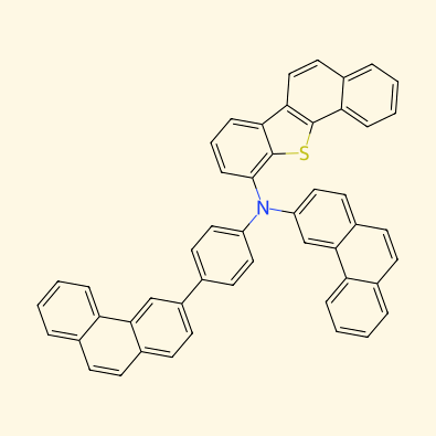 c1ccc2c(c1)ccc1ccc(-c3ccc(N(c4ccc5ccc6ccccc6c5c4)c4cccc5c4sc4c6ccccc6ccc54)cc3)cc12